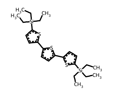 CC[Si](CC)(CC)c1ccc(-c2ccc(-c3ccc([Si](CC)(CC)CC)s3)s2)s1